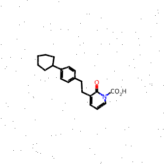 O=C(O)n1cccc(CCc2ccc(C3CCCCC3)cc2)c1=O